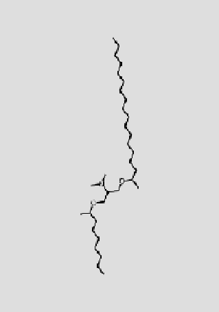 CCCCCCCCCCCCCCCCC(C)OC[C@@H](COC(C)CCCCCCC)N(C)C